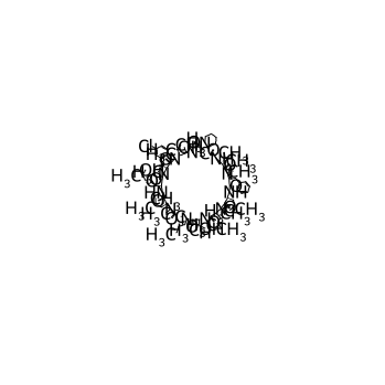 CCCCN1CC(=O)N(C)[C@@H](CC(C)C)C(=O)N[C@@H](COC[C@@H](C)O)C(=O)N(C)[C@@H](Cc2cccc(Cl)c2)C(=O)N(C)[C@@H](C(C)C)C(O)N[C@H](C(=O)N2CCCCC2)CC(=O)N[C@H](C(C)C)C(=O)N(C)[C@@H](Cc2ccccc2)C(=O)N[C@@H](CC(C)C)C(=O)N(C)[C@@H](CC(C)C)C(=O)N[C@@H]([C@@H](C)O)C1=O